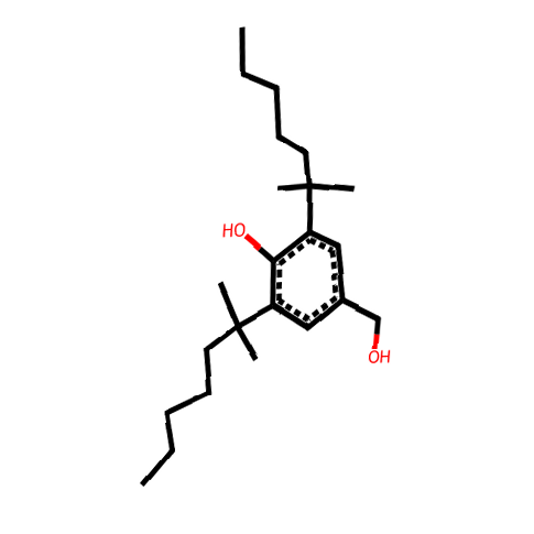 CCCCCC(C)(C)c1cc(CO)cc(C(C)(C)CCCCC)c1O